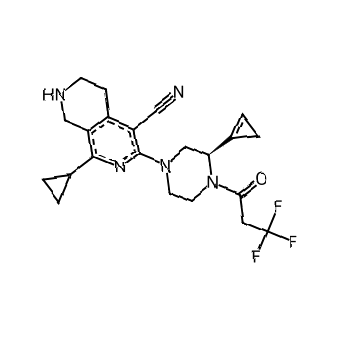 N#Cc1c(N2CCN(C(=O)CC(F)(F)F)[C@H](C3=CC3)C2)nc(C2CC2)c2c1CCNC2